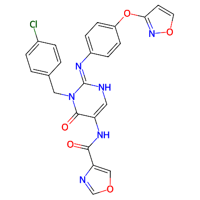 O=C(Nc1c[nH]/c(=N\c2ccc(Oc3ccon3)cc2)n(Cc2ccc(Cl)cc2)c1=O)c1cocn1